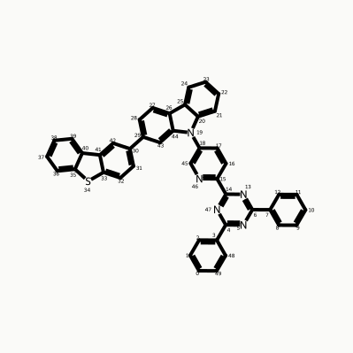 c1ccc(-c2nc(-c3ccccc3)nc(-c3ccc(-n4c5ccccc5c5ccc(-c6ccc7sc8ccccc8c7c6)cc54)cn3)n2)cc1